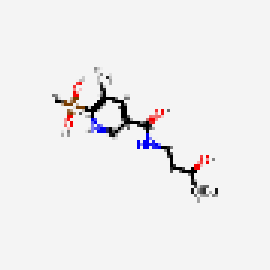 CC(C)COC(=O)CCNC(=O)c1cnc(S(C)(=O)=O)c(C#N)c1